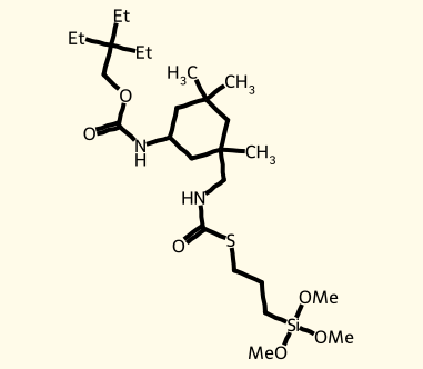 CCC(CC)(CC)COC(=O)NC1CC(C)(C)CC(C)(CNC(=O)SCCC[Si](OC)(OC)OC)C1